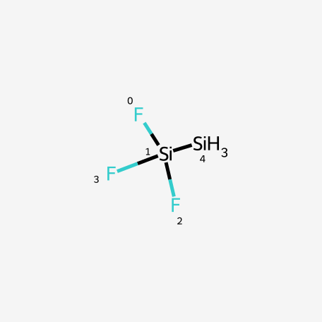 F[Si](F)(F)[SiH3]